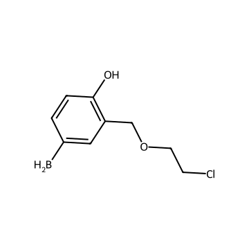 Bc1ccc(O)c(COCCCl)c1